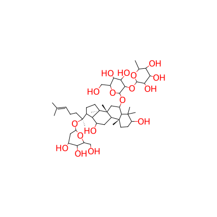 CC(C)=CCC[C@](C)(OC1CC(O)C(O)C(CO)O1)C1CC[C@]2(C)C1C(O)CC1[C@@]3(C)CCC(O)C(C)(C)C3C(OC3OC(CO)C(O)C(O)C3OC3OC(C)C(O)C(O)C3O)C[C@]12C